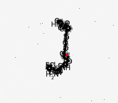 C[C@@H]1CN(C(=O)c2ccc(NC(=O)c3cc(O[C@H](C)c4c(Cl)ccc(F)c4Cl)c(N)nn3)cc2)C[C@H](C)N1C(=O)CCOCCOCCOCCSc1cccc2c1C(=O)N(C1CCC(=O)NC1=O)C2=O